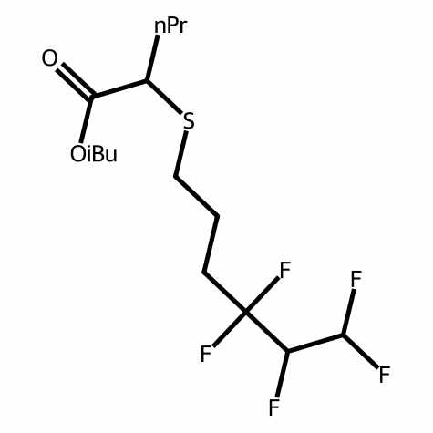 CCCC(SCCCC(F)(F)C(F)C(F)F)C(=O)OCC(C)C